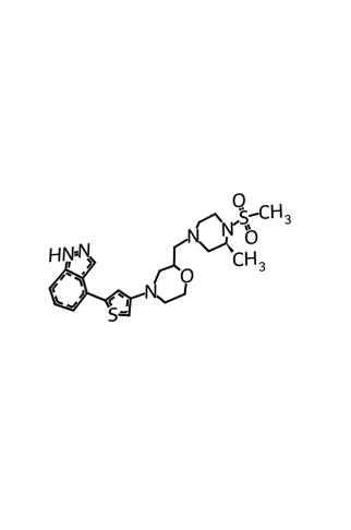 C[C@H]1CN(CC2CN(c3csc(-c4cccc5[nH]ncc45)c3)CCO2)CCN1S(C)(=O)=O